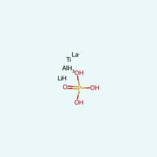 O=P(O)(O)O.[AlH3].[La].[LiH].[Ti]